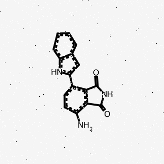 Nc1ccc(-c2cc3ccccc3[nH]2)c2c1C(=O)NC2=O